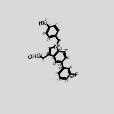 CC(C)(C)c1ccc(Cn2cc(CC=O)c3cc(-c4cccc(F)c4)ccc32)cc1